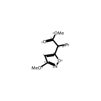 COC(=O)C(c1cc(OC)no1)C(C)C